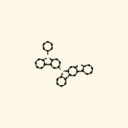 c1ccc(-n2c3ccccc3c3cc(-n4c5ccccc5c5cc6c(cc54)oc4ccccc46)ccc32)cc1